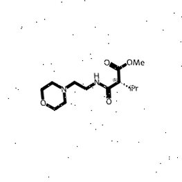 COC(=O)[C@@H](C(=O)NCCN1CCOCC1)C(C)C